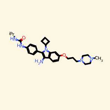 CC(C)NC(=O)Nc1ccc(-c2c(N)c3ccc(OCCCN4CCN(C)CC4)cc3n2C2CCC2)cc1